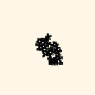 CC(C)C[C@H](NC(=O)[C@@H](NC(=O)[C@@H](NC(=O)OCc1ccccc1)[C@H](NC(=O)OC(C)(C)C)c1ccccc1)[C@H](O)C(C)C)C(=O)N[C@H](CCCNC(=N)N)C(=O)N[C@@H](CC(C)C)C(=O)N[C@H](C(=O)NCC(=O)N[C@@H](CO)C(=O)N[C@@H](CO)C(=O)O)[C@H](C)O